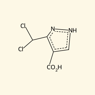 O=C(O)c1c[nH]nc1C(Cl)Cl